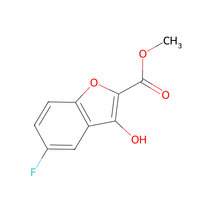 COC(=O)c1oc2ccc(F)cc2c1O